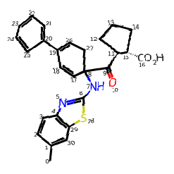 Cc1ccc2nc(NC3(C(=O)[C@H]4CCC[C@@H]4C(=O)O)C=CC(c4ccccc4)=CC3)sc2c1